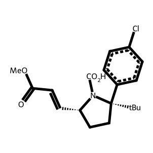 COC(=O)C=C[C@H]1CC[C@@](c2ccc(Cl)cc2)(C(C)(C)C)N1C(=O)O